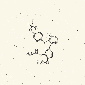 CNSc1cc(-c2nccnc2Sc2ccc(OC(F)(F)F)cc2)ccc1OC